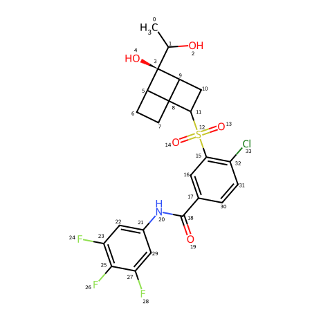 CC(O)[C@@]1(O)C2CCC23C1CC3S(=O)(=O)c1cc(C(=O)Nc2cc(F)c(F)c(F)c2)ccc1Cl